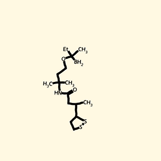 BC(C)(CC)OCCC(C)(C)NC(=O)CC(C)C1CCSS1